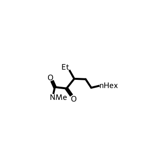 CCCCCCCCC(CC)C(=O)C(=O)NC